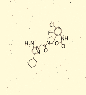 Nc1cc(C2CCCCC2)nn1CC(=O)N1CC[C@@]2(C1)OC(=O)Nc1ccc(Cl)c(F)c12